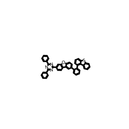 c1ccc(-c2nc(-c3ccccc3)nc(-c3ccc4c(c3)oc3ccc(-c5ccccc5-c5cccc6sc7ccccc7c56)cc34)n2)cc1